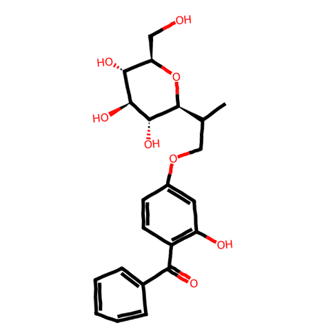 CC(COc1ccc(C(=O)c2ccccc2)c(O)c1)[C@@H]1O[C@H](CO)[C@@H](O)[C@H](O)[C@H]1O